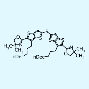 CCCCCCCCCCCCCc1c(C2=NC(C)(C)CO2)sc2cc(Sc3cc4sc(C5=NC(C)(C)CO5)c(CCCCCCCCCCCCC)c4s3)sc12